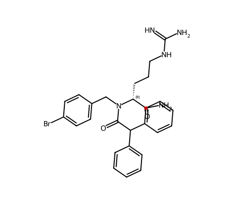 N=C(N)NCCC[C@H](C(N)=O)N(Cc1ccc(Br)cc1)C(=O)C(c1ccccc1)c1ccccc1